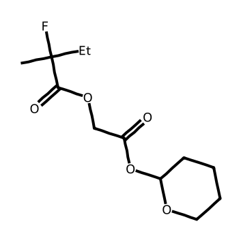 CCC(C)(F)C(=O)OCC(=O)OC1CCCCO1